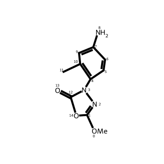 COc1nn(-c2ccc(N)cc2C)c(=O)o1